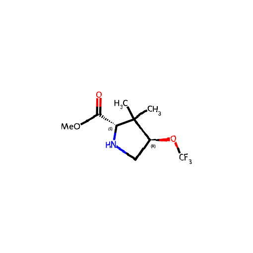 COC(=O)[C@H]1NC[C@H](OC(F)(F)F)C1(C)C